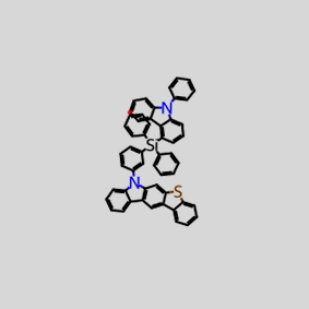 c1ccc(-n2c3ccccc3c3c([Si](c4ccccc4)(c4ccccc4)c4cccc(-n5c6ccccc6c6cc7c(cc65)sc5ccccc57)c4)cccc32)cc1